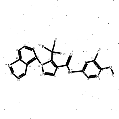 COc1ncc(NC(=O)c2cnn(-c3cccc4ncccc34)c2C(F)(F)F)cc1Cl